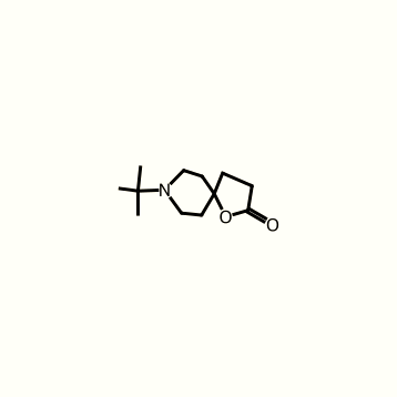 CC(C)(C)N1CCC2(CCC(=O)O2)CC1